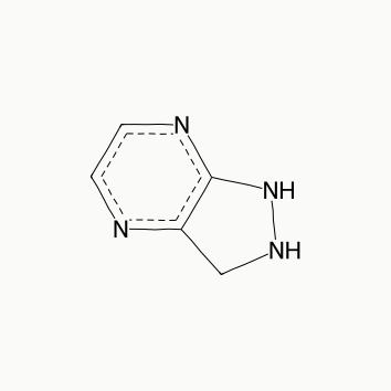 c1cnc2c(n1)CNN2